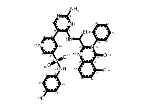 CCC(Nc1nc(N)ncc1-c1cncc(S(=O)(=O)Nc2ccc(F)cc2)c1)c1nc2cccc(F)c2c(=O)n1-c1ccccc1